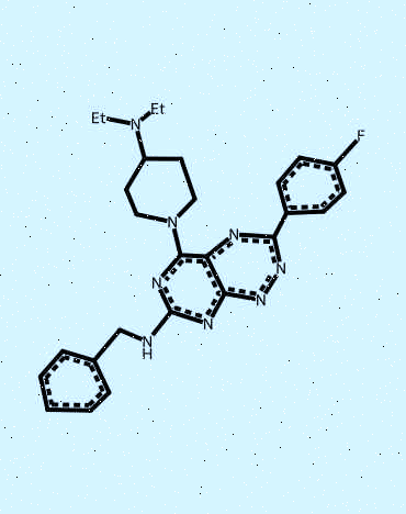 CCN(CC)C1CCN(c2nc(NCc3ccccc3)nc3nnc(-c4ccc(F)cc4)nc23)CC1